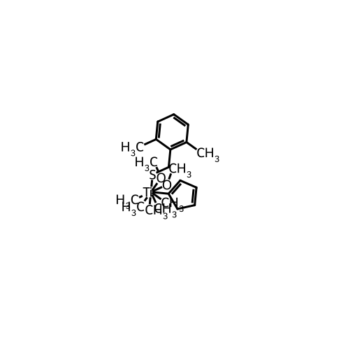 C[O][Ti]([CH3])([CH3])([CH3])([CH3])([CH3])([O]C)([S]Cc1c(C)cccc1C)[C]1=CC=CC1